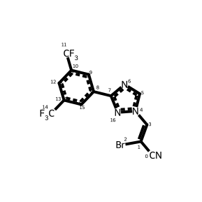 N#CC(Br)=Cn1cnc(-c2cc(C(F)(F)F)cc(C(F)(F)F)c2)n1